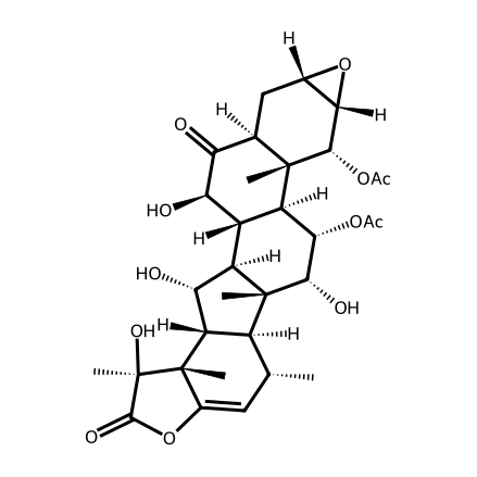 CC(=O)O[C@H]1[C@H]2[C@H]([C@@H]3[C@@H](O)[C@@H]4[C@H]([C@H](C)C=C5OC(=O)[C@@](C)(O)[C@@]54C)[C@@]3(C)[C@H]1O)[C@@H](O)C(=O)[C@H]1C[C@@H]3O[C@@H]3[C@H](OC(C)=O)[C@]21C